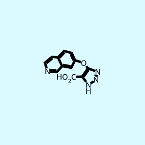 O=C(O)c1[nH]nnc1Oc1ccc2ccncc2c1